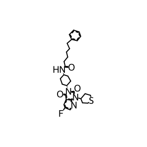 O=C(CCCCCc1ccccc1)N[C@H]1CC[C@@H](n2c(=O)c3cc(F)cnc3n(C3CCSCC3)c2=O)CC1